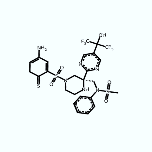 CS(=O)(=O)N(C[C@@]1(c2ncc(C(O)(C(F)(F)F)C(F)(F)F)cn2)CN(S(=O)(=O)C2=CC(N)=CCC2=S)CCN1)c1ccccc1